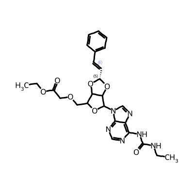 CCNC(=O)Nc1ncnc2c1ncn2C1OC(COCC(=O)OCC)C2O[C@H](/C=C/c3ccccc3)OC21